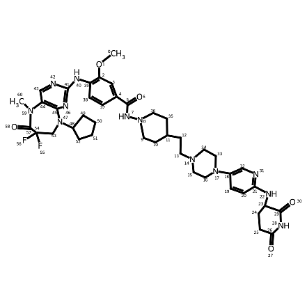 COc1cc(C(=O)NN2CCC(CCN3CCN(c4ccc(NC5CCC(=O)NC5=O)nc4)CC3)CC2)ccc1Nc1ncc2c(n1)N(C1CCCC1)CC(F)(F)C(=O)N2C